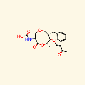 CC(=O)/C=C/O[C@@H]1[C@@H](Cc2ccccc2)COC[C@H](NC(=O)O)C(=O)O[C@H]1C